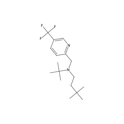 CC(C)(C)CCN(Cc1ccc(C(F)(F)F)cn1)C(C)(C)C